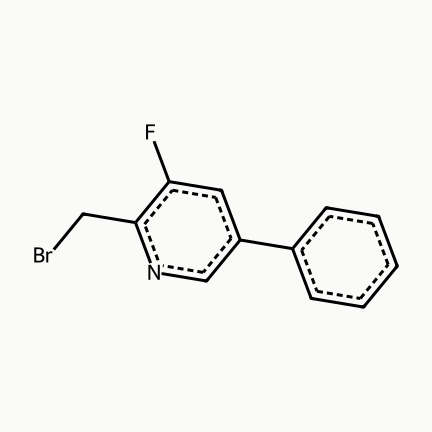 Fc1cc(-c2ccccc2)cnc1CBr